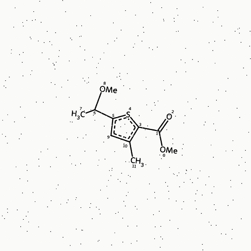 COC(=O)c1sc(C(C)OC)cc1C